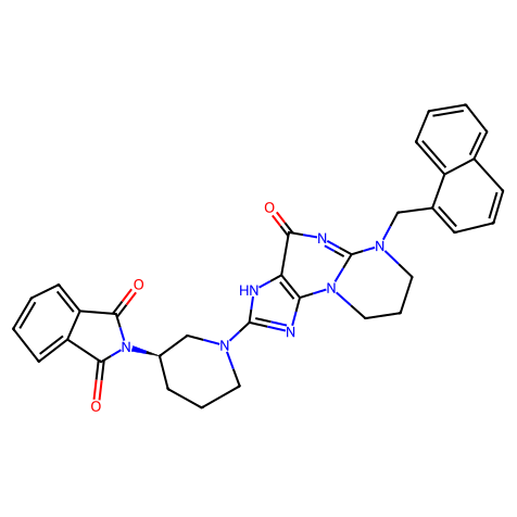 O=C1c2ccccc2C(=O)N1[C@@H]1CCCN(c2nc3c([nH]2)c(=O)nc2n3CCCN2Cc2cccc3ccccc23)C1